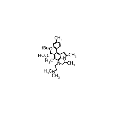 Cc1ccc(-c2c([C@H](OC(C)(C)C)C(=O)O)c(C)c3c4c2cc(C)n4C(C)CN3CCN(C)C)cc1